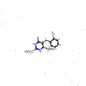 CNc1nc(C(=O)O)nc(C)c1Cc1ccccc1Cl